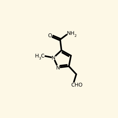 Cn1nc(CC=O)cc1C(N)=O